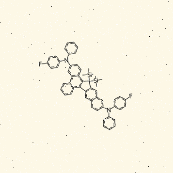 C[Si](C)(C)C1([Si](C)(C)C)c2cc3cc(N(c4ccccc4)c4ccc(F)cc4)ccc3cc2-c2c1c1ccc(N(c3ccccc3)c3ccc(F)cc3)cc1c1ccccc21